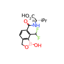 CC(C)[C@H](NC(=O)c1ccc2c(c1C(F)F)B(O)OC2)C(=O)O